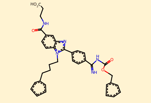 N=C(NC(=O)OCc1ccccc1)c1ccc(-c2nc3cc(C(=O)NCCC(=O)O)ccc3n2CCCCc2ccccc2)cc1